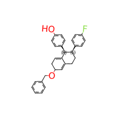 Oc1ccc([C@@H]2C3=CCC(OCc4ccccc4)C=C3CC[C@@H]2c2ccc(F)cc2)cc1